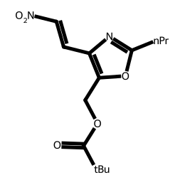 CCCc1nc(C=C[N+](=O)[O-])c(COC(=O)C(C)(C)C)o1